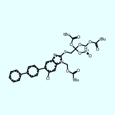 CC(C)(C)C(=O)OCOC(CSc1nc2cc(-c3ccc(-c4ccccc4)cc3)c(Cl)cc2n1COC(=O)C(C)(C)C)(O[PH2]=O)OC(=O)C(C)(C)C